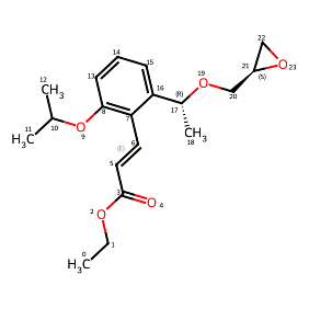 CCOC(=O)/C=C/c1c(OC(C)C)cccc1[C@@H](C)OC[C@H]1CO1